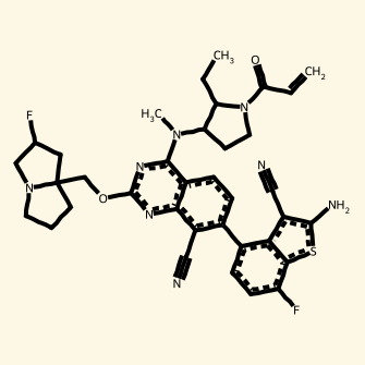 C=CC(=O)N1CCC(N(C)c2nc(OCC34CCCN3CC(F)C4)nc3c(C#N)c(-c4ccc(F)c5sc(N)c(C#N)c45)ccc23)C1CC